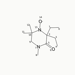 CCC1(CC)C(=O)N(C)CC(C)(C)N1[O]